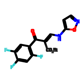 CCOC(=O)/C(=C\Nc1ccno1)C(=O)c1cc(F)c(F)cc1F